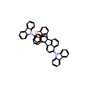 c1cc2c3c(c1)oc1cccc(c13)C13c4ccc(-n5c6ccccc6c6ccccc65)c5cccc(c45)C21c1cccc2c(-n4c5ccccc5c5ccccc54)ccc3c12